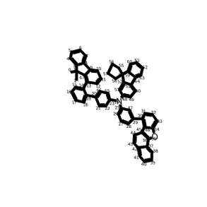 CC1(C)c2ccccc2-c2cccc(-c3ccccc3-c3ccc(N(c4cccc(-c5cccc6oc7c8ccccc8ccc7c56)c4)c4ccc5c(c4)C4(CCCC4)c4ccccc4-5)cc3)c21